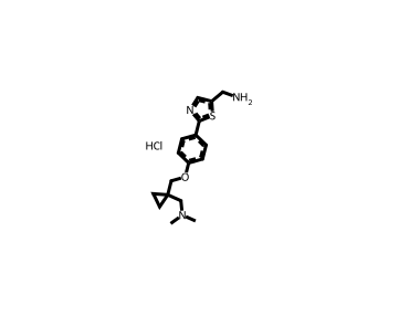 CN(C)CC1(COc2ccc(-c3ncc(CN)s3)cc2)CC1.Cl